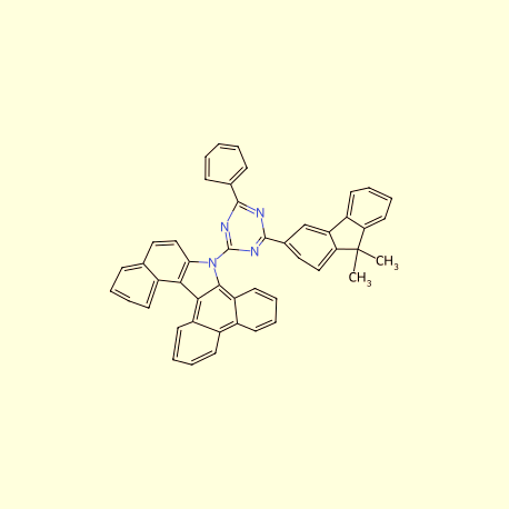 CC1(C)c2ccccc2-c2cc(-c3nc(-c4ccccc4)nc(-n4c5ccc6ccccc6c5c5c6ccccc6c6ccccc6c54)n3)ccc21